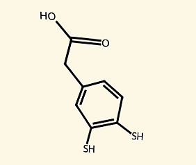 O=C(O)Cc1ccc(S)c(S)c1